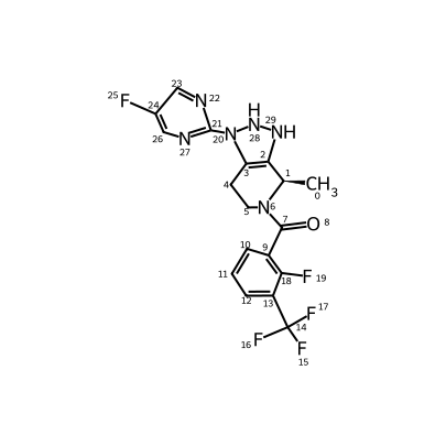 C[C@@H]1C2=C(CCN1C(=O)c1cccc(C(F)(F)F)c1F)N(c1ncc(F)cn1)NN2